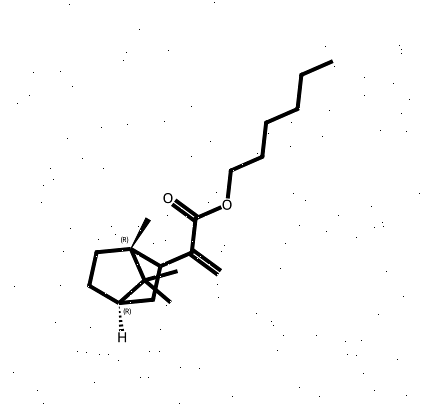 C=C(C(=O)OCCCCCC)C1C[C@H]2CC[C@@]1(C)C2(C)C